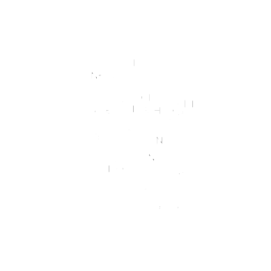 Cc1ncc2c(c1O)C(c1c(C)nn(-c3ccccc3)c1O)OC2.Cl.O